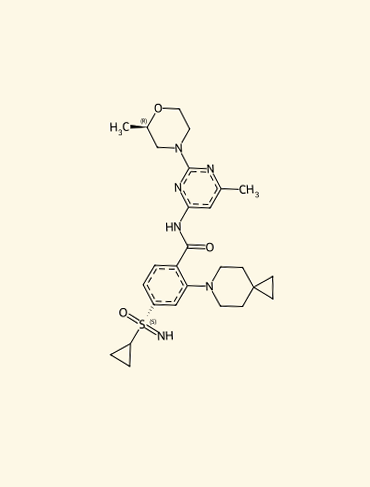 Cc1cc(NC(=O)c2ccc([S@@](=N)(=O)C3CC3)cc2N2CCC3(CC2)CC3)nc(N2CCO[C@H](C)C2)n1